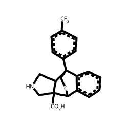 O=C(O)C12CNCC1C1(c3ccc(C(F)(F)F)cc3)CCC2c2ccccc21